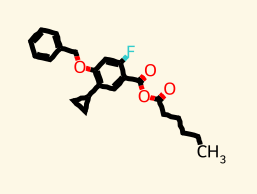 CCCCCC(=O)OC(=O)c1cc(C2CC2)c(OCc2ccccc2)cc1F